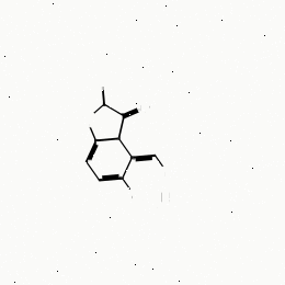 O=C(O)C=C1C(C(=O)O)=CC=C2OC(Cl)C(=O)C21